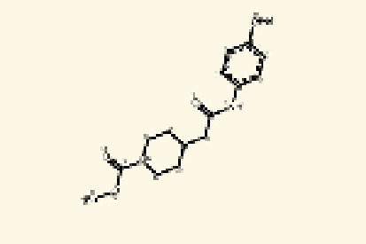 COc1ccc(NC(=O)CC2CCN(C(=O)OC(C)(C)C)CC2)cc1